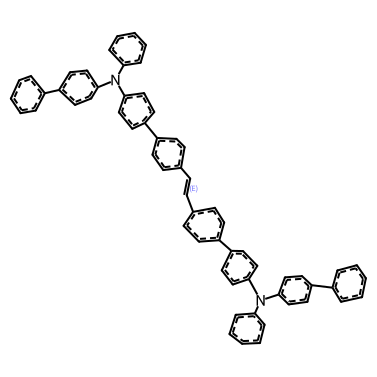 C(=C\c1ccc(-c2ccc(N(c3ccccc3)c3ccc(-c4ccccc4)cc3)cc2)cc1)/c1ccc(-c2ccc(N(c3ccccc3)c3ccc(-c4ccccc4)cc3)cc2)cc1